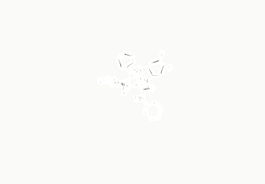 CCOC(=O)C1CC1C(C(=O)NC1CCCCC1)C1(C(OC)c2ccccc2)Nc2cc(F)c(F)cc2N1